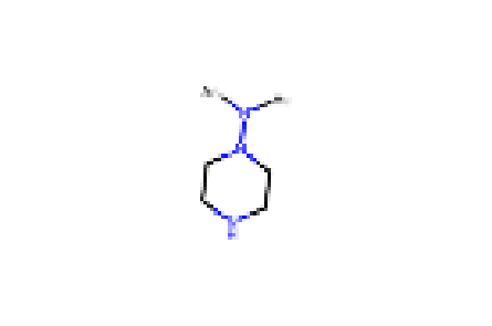 CC(=O)N(C(C)=O)N1CCNCC1